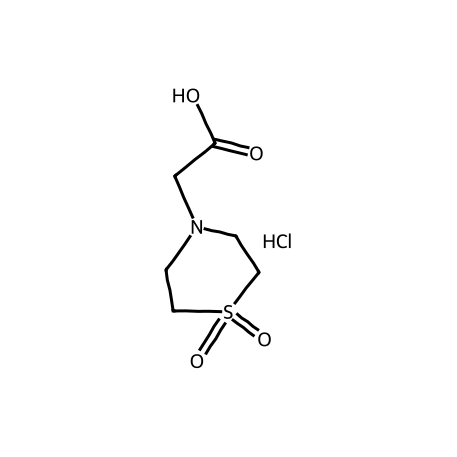 Cl.O=C(O)CN1CCS(=O)(=O)CC1